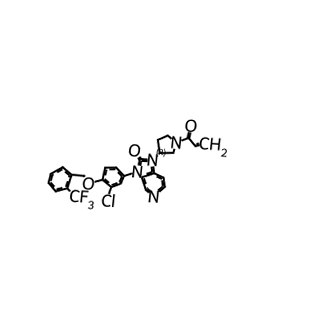 C=CC(=O)N1CC[C@@H](n2c(=O)n(-c3ccc(OCc4ccccc4C(F)(F)F)c(Cl)c3)c3cnccc32)C1